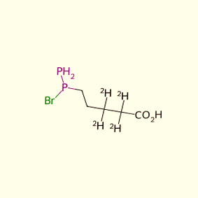 [2H]C([2H])(CCP(P)Br)C([2H])([2H])C(=O)O